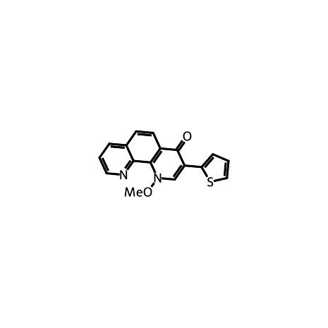 COn1cc(-c2cccs2)c(=O)c2ccc3cccnc3c21